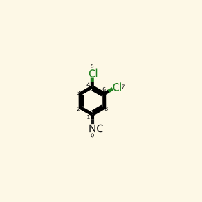 [C-]#[N+]c1ccc(Cl)c(Cl)c1